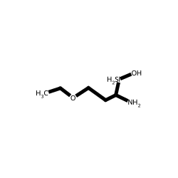 CCOCCC(N)[SiH2]O